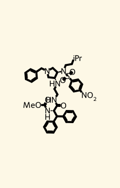 COC(=O)N[C@H](C(=O)NCCN[C@@H]1CN(Cc2ccccc2)C[C@H]1N(CCC(C)C)S(=O)(=O)c1ccc([N+](=O)[O-])cc1)C(c1ccccc1)c1ccccc1